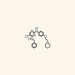 Clc1cnc(Nc2ccc(OCCN3CCCCC3)cc2)nc1NCc1ccccc1